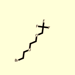 FC(F)(F)COCCOCCBr